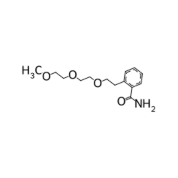 COCCOCCOCCc1ccccc1C(N)=O